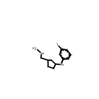 CNCC1CCC(Nc2cccc(F)c2)C1